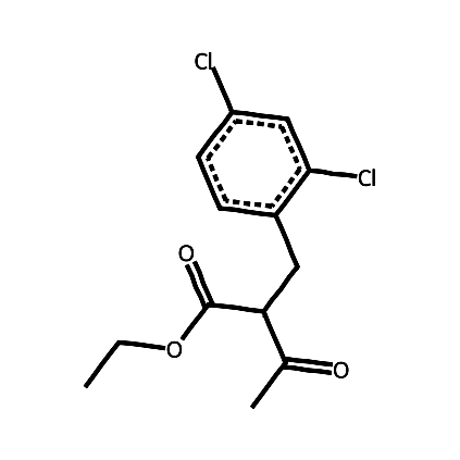 CCOC(=O)[C](Cc1ccc(Cl)cc1Cl)C(C)=O